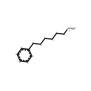 CCCCCCCCCCCC[CH]c1ccccc1